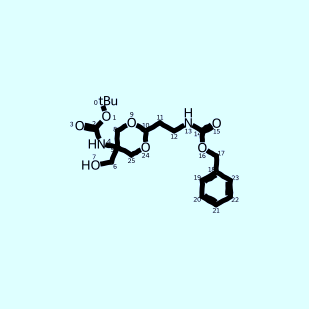 CC(C)(C)OC(=O)NC1(CO)COC(CCNC(=O)OCc2ccccc2)OC1